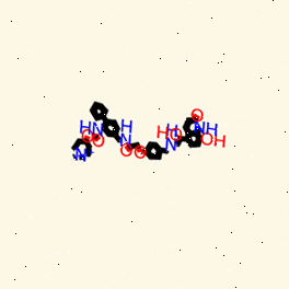 C[N+]1(C)CCC(OC(=O)Nc2cc(CNC(=O)COc3ccc(CNC[C@@H](O)c4ccc(O)c5[nH]c(=O)ccc45)cc3)ccc2-c2ccccc2)CC1